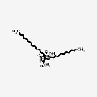 CCCCCCCCCCCCCC(C(N)=O)C(CCCCCCCCCCCCC)(C(=O)[O-])S(=O)(=O)O.[Na+]